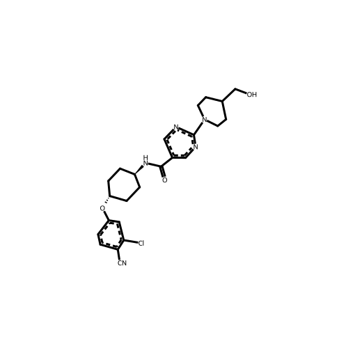 N#Cc1ccc(O[C@H]2CC[C@H](NC(=O)c3cnc(N4CCC(CO)CC4)nc3)CC2)cc1Cl